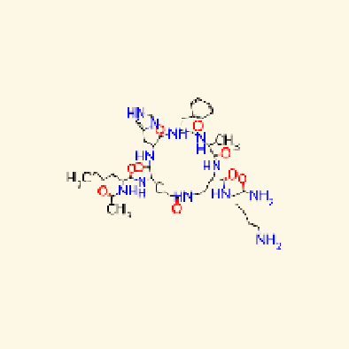 CCCC[C@H](NC(C)=O)C(=O)N[C@H]1CCC(=O)NCC[C@@H](C(=O)N[C@@H](CCCCN)C(N)=O)NC(=O)[C@H](C)NC(=O)[C@@H](Cc2ccccc2)NC(=O)[C@H](Cc2c[nH]cn2)NC1=O